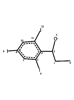 CCC([O])c1c(I)cc(I)cc1I